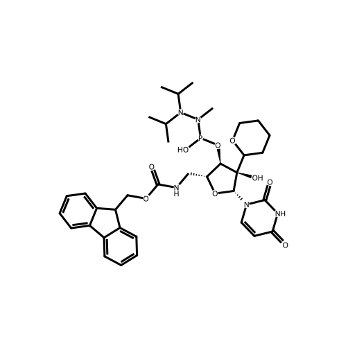 CC(C)N(C(C)C)N(C)P(O)O[C@@H]1[C@@H](CNC(=O)OCC2c3ccccc3-c3ccccc32)O[C@@H](n2ccc(=O)[nH]c2=O)[C@@]1(O)C1CCCCO1